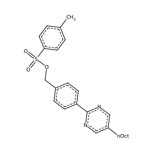 CCCCCCCCc1cnc(-c2ccc(COS(=O)(=O)c3ccc(C)cc3)cc2)nc1